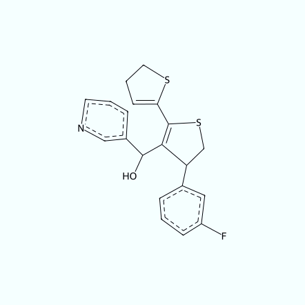 OC(C1=C(C2=CCCS2)SCC1c1cccc(F)c1)c1cccnc1